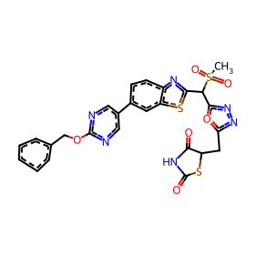 CS(=O)(=O)C(c1nnc(CC2SC(=O)NC2=O)o1)c1nc2ccc(-c3cnc(OCc4ccccc4)nc3)cc2s1